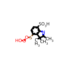 CC1=Nc2c(S(=O)(=O)O)ccc(SOOO)c2C1(C)C